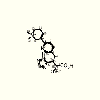 CCC[C@H](C(=O)O)[C@H](Cc1ccc(C2=CCC[N+](C)(C)C2)nc1)c1nnn[nH]1